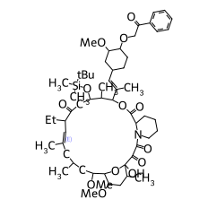 CCC1/C=C(\C)CC(C)CC(OC)C2OC(O)(C(=O)C(=O)N3CCCCC3C(=O)OC(C(C)=CC3CCC(OCC(=O)c4ccccc4)C(OC)C3)C(C)C(O[Si](C)(C)C(C)(C)C)CC1=O)C(C)CC2OC